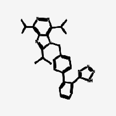 CC(C)c1nnc(C(C)C)c2c1nc(C(C)C)n2Cc1ccc(-c2ccccc2-c2nnn[nH]2)cc1